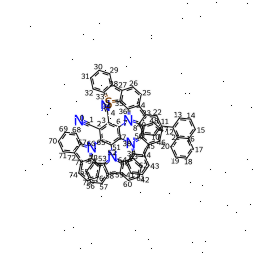 N#Cc1c(C#N)c(-n2c3ccc(-c4cccc5ccccc45)cc3c3ccc4c5ccccc5sc4c32)c(-n2c3ccccc3c3ccccc32)c(-n2c3ccccc3c3ccccc32)c1-n1c2ccccc2c2ccccc21